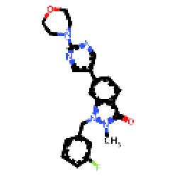 Cn1c(=O)c2ccc(-c3cnc(N4CCOCC4)nc3)cc2n1Cc1cccc(F)c1